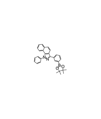 CC1(C)OB(c2cccc(-c3nn(-c4ccccc4)c4c3ccc3ccccc34)c2)OC1(C)C